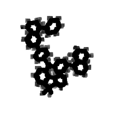 CC1(C)c2ccccc2-c2c(N(c3ccc(-c4ccc5cccc(-c6ccccc6)c5c4)cc3)c3ccc(-c4cccc5ccccc45)cc3)cccc21